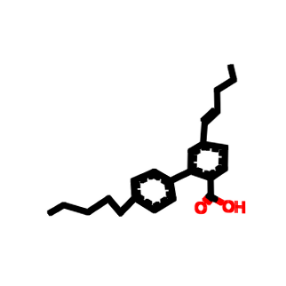 CCCC=Cc1ccc(C(=O)O)c(-c2ccc(CCCCC)cc2)c1